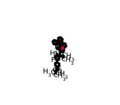 CC(C)c1c(-c2ccnc3c2cnn3C(c2ccccc2)(c2ccccc2)c2ccccc2)[nH]c2cc(F)c(C3CCN(C(=O)OC(C)(C)C)CC3)cc12